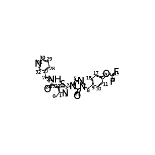 Cc1nc(-n2cnn(Cc3ccc(OC(F)F)cc3)c2=O)sc1C(=O)NCc1cccnc1